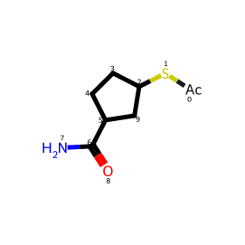 CC(=O)SC1CCC(C(N)=O)C1